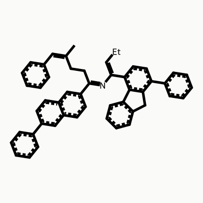 CC/C=C(/N=C(\CC/C(C)=C\c1ccccc1)c1ccc2cc(-c3ccccc3)ccc2c1)c1ccc(-c2ccccc2)c2c1-c1ccccc1C2